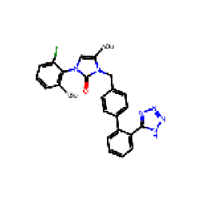 CCCCc1cn(-c2c(F)cccc2C(C)(C)C)c(=O)n1Cc1ccc(-c2ccccc2-c2nnn[nH]2)cc1